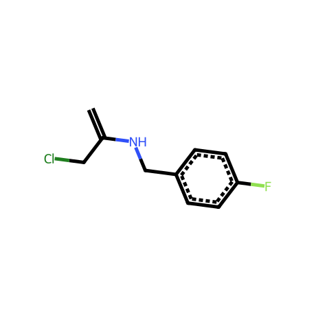 C=C(CCl)NCc1ccc(F)cc1